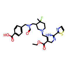 CCOC(=O)C1=C(CN2CCC(C)(F)C(CN(C=O)Cc3ccc(C(=O)O)cc3)C2)NC(c2nccs2)=NC1